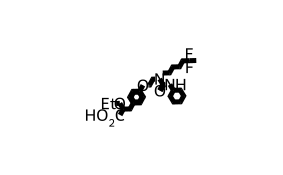 CCOC(Cc1ccc(OCCN(CCCCCC(C)(F)F)C(=O)NC2CCCCC2)cc1)C(=O)O